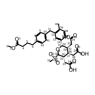 COC(=O)CCCc1ccc(Cc2cc([C@H]3O[C@H](S(C)(=O)=O)[C@@H](CC(=O)O)[C@H](CC(=O)O)[C@@H]3CC(=O)O)ccc2C)cc1